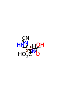 C[C@@H](O)[C@H]1C(=O)N2C(C(=O)O)C(SC3CN=C(CC#N)NC3)S[C@H]12